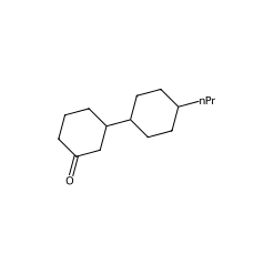 CCCC1CCC(C2CCCC(=O)C2)CC1